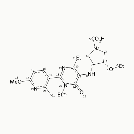 CCO[C@H]1CN(C(=O)O)C[C@H]1Nc1c(CC)nc(-c2ccc(OC)nc2C)n(CC)c1=O